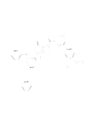 CC(C)C[C@H](NC(=O)c1ccc(N(C)C)cc1)C(=O)N1CC[C@@H]2C1C(=O)CN2C(=O)[C@H](Cc1ccccc1)NC(=O)OCc1ccccc1